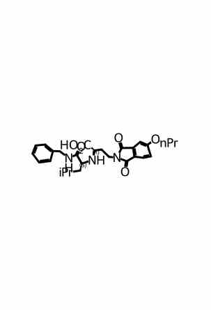 CCCOc1ccc2c(c1)C(=O)N(CC[C@@H](N[C@@H](CC(C)C)C(=O)NCc1ccccc1)C(=O)O)C2=O